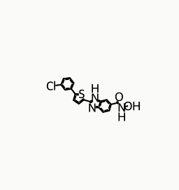 O=C(NO)c1ccc2nc(-c3ccc(-c4cccc(Cl)c4)s3)[nH]c2c1